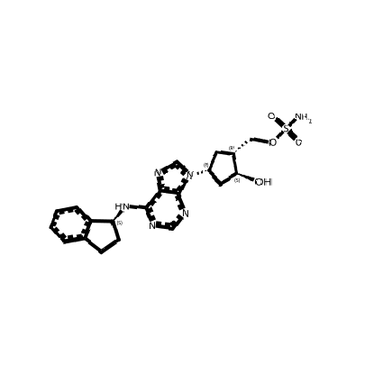 NS(=O)(=O)OC[C@H]1C[C@@H](n2cnc3c(N[C@H]4CCc5ccccc54)ncnc32)C[C@@H]1O